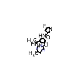 CC1\C=C(N[C@@H](C)c2cccc(NC(=O)c3cncc(F)c3)c2)/N=C(Cl)\C=C\C1